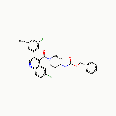 Cc1cc(F)cc(-c2cnc3ccc(Cl)cc3c2C(=O)N(C)CC[C@H](C)NC(=O)OCc2ccccc2)c1